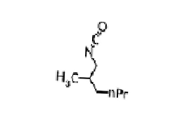 CCCCC(C)CN=C=O